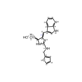 Cl.Cl.O=C1NC(NCc2ccco2)=N/C1=C\c1c[nH]c2ncccc12